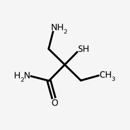 CCC(S)(CN)C(N)=O